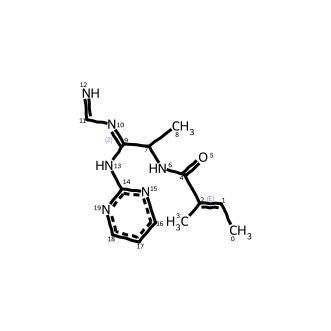 C/C=C(\C)C(=O)NC(C)/C(=N/C=N)Nc1ncccn1